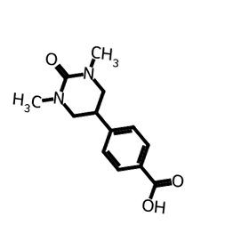 CN1CC(c2ccc(C(=O)O)cc2)CN(C)C1=O